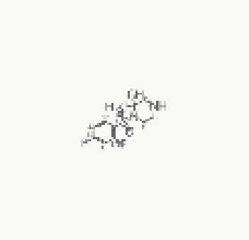 CC1(C)CNCCN1S(=O)(=O)c1ccc(F)cc1F